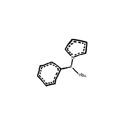 CCCCP(c1ccccc1)n1cccc1